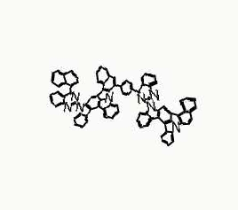 c1ccc2c(-c3nc(-n4c5ccccc5c5c6c7ccccc7n7c8c(-c9ccc(-c%10nc(-n%11c%12ccccc%12c%12c%13c%14ccccc%14n%14c%15ccc%16ccccc%16c%15c(cc%12%11)c%13%14)nc%11ccccc%10%11)cc9)cc9ccccc9c8c(cc54)c67)nc4ccccc34)cccc2c1